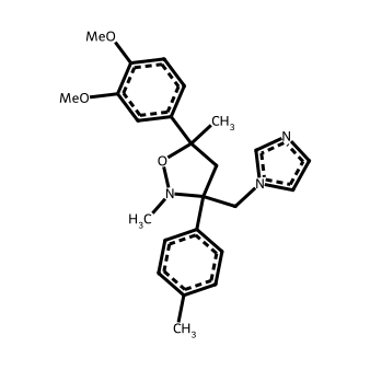 COc1ccc(C2(C)CC(Cn3ccnc3)(c3ccc(C)cc3)N(C)O2)cc1OC